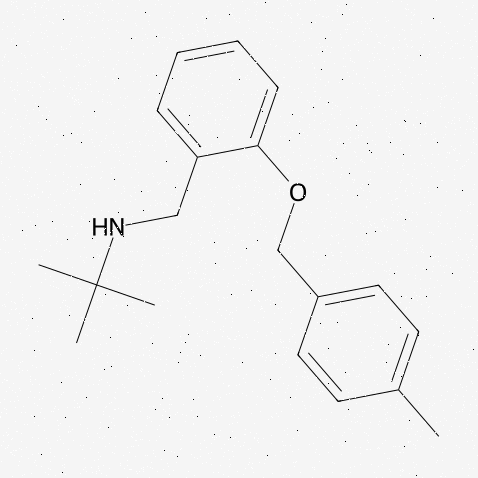 Cc1ccc(COc2ccccc2CNC(C)(C)C)cc1